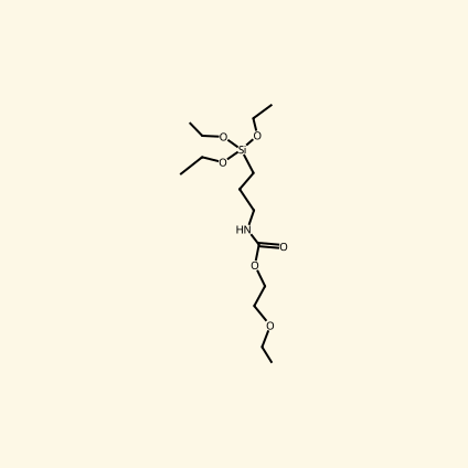 CCOCCOC(=O)NCCC[Si](OCC)(OCC)OCC